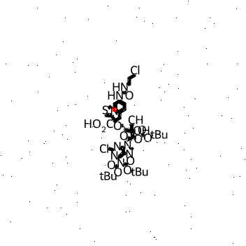 C#C[C@@]1(O)[C@@H](COC(Cc2ccc(NC(=O)NCCCCl)cc2)(C(=O)O)c2cscn2)O[C@@H](n2cnc3c(N(C(=O)OC(C)(C)C)C(=O)OC(C)(C)C)nc(Cl)nc32)[C@@H]1OC(=O)OC(C)(C)C